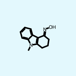 Cn1c2c(c3ccccc31)/C(=N/O)CCC2